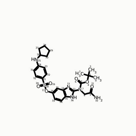 CC(C)(C)OC(=O)N(CC(N)=O)c1nc2cc(OS(=O)(=O)c3ccc(NC4CCCC4)cc3)ccc2[nH]1